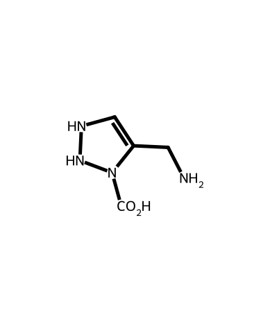 NCC1=CNNN1C(=O)O